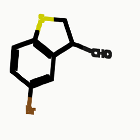 O=CC1CSc2ccc(Br)cc21